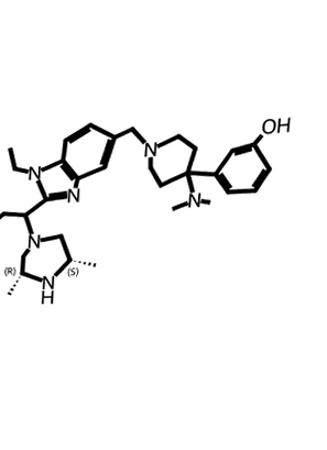 CCC(c1nc2cc(CN3CCC(c4cccc(O)c4)(N(C)C)CC3)ccc2n1CC)N1C[C@@H](C)N[C@@H](C)C1